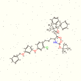 CC(C)(C)OC(=O)NC(CCCc1ccc(Oc2cccc(OCc3ccccc3)c2)cc1Cl)C(=O)CO[Si](c1ccccc1)(c1ccccc1)C(C)(C)C